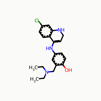 CCN(CC)Cc1cc(NC2=CCNc3cc(Cl)ccc32)ccc1O